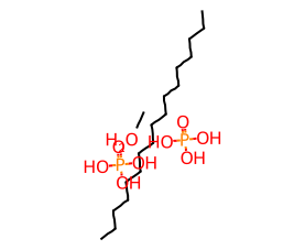 CC.CCCCCCCCCCCCCCCCC.O.O=P(O)(O)O.O=P(O)(O)O